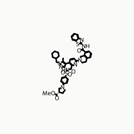 COC(=O)[C@H]1CCN(c2ccc(S(=O)(=O)NC(=O)c3nc(N4CCc5cccc(C(=O)Nc6nc7ccccc7s6)c5C4)ccc3-c3cnn(CC4CCCCC4)c3C)cc2)C1